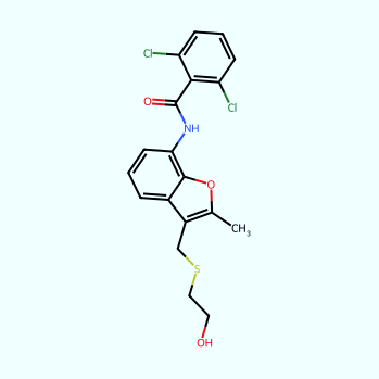 Cc1oc2c(NC(=O)c3c(Cl)cccc3Cl)cccc2c1CSCCO